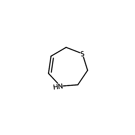 C1=CNCCSC1